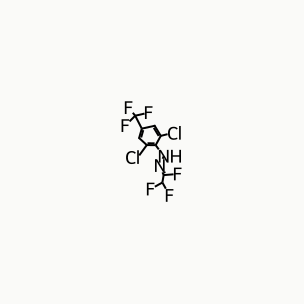 FC(=NNc1c(Cl)cc(C(F)(F)F)cc1Cl)C(F)F